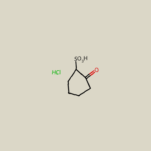 Cl.O=C1CCCCC1S(=O)(=O)O